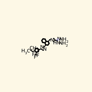 CC(C)Cc1ccc(C2=NC(c3ccc(CN4CC(/C(=N/N)NN)C4)c4ccccc34)=NC2)cc1C(F)(F)F